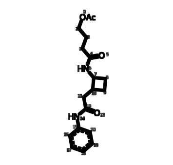 CC(=O)OCCCC(=O)NC1CCC1CC(=O)Nc1ccccc1